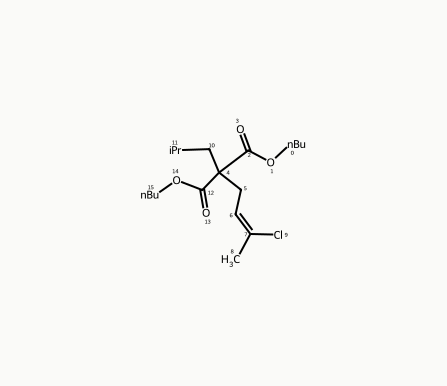 CCCCOC(=O)C(CC=C(C)Cl)(CC(C)C)C(=O)OCCCC